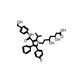 CC(C)c1c(C(=O)Nc2ccc(CO)cc2)c(-c2ccccc2)c(-c2ccc(F)cc2)n1CCC(O)C[C@@H](O)CC(=O)O